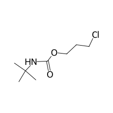 CC(C)(C)NC(=O)OCCCCl